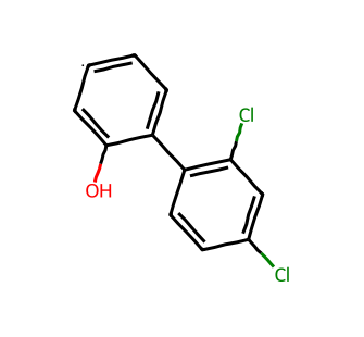 Oc1c[c]ccc1-c1ccc(Cl)cc1Cl